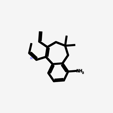 C=CC1=C(/C=C\C)c2cccc(N)c2CC(C)(C)C1